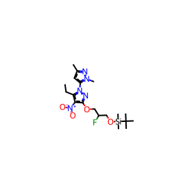 CCc1c([N+](=O)[O-])c(OCC(F)CO[Si](C)(C)C(C)(C)C)nn1-c1cc(C)nn1C